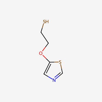 SCCOc1cncs1